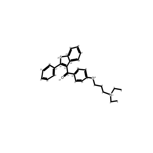 CCN(CC)CCCOc1ccc(C(=O)c2c(-c3ccccc3)sc3ccccc23)cc1